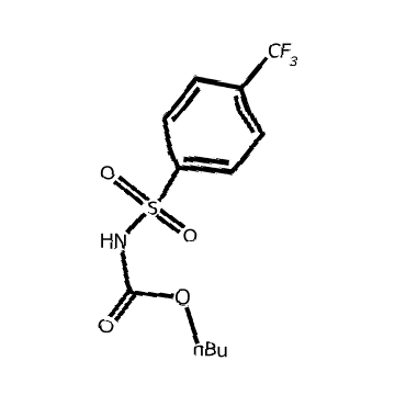 CCCCOC(=O)NS(=O)(=O)c1ccc(C(F)(F)F)cc1